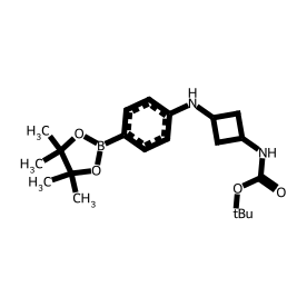 CC(C)(C)OC(=O)NC1CC(Nc2ccc(B3OC(C)(C)C(C)(C)O3)cc2)C1